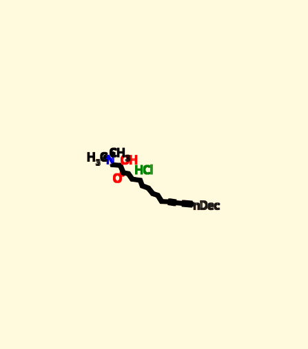 CCCCCCCCCCC#CC#CCCCCCCCCC(=O)C(O)CN(C)C.Cl